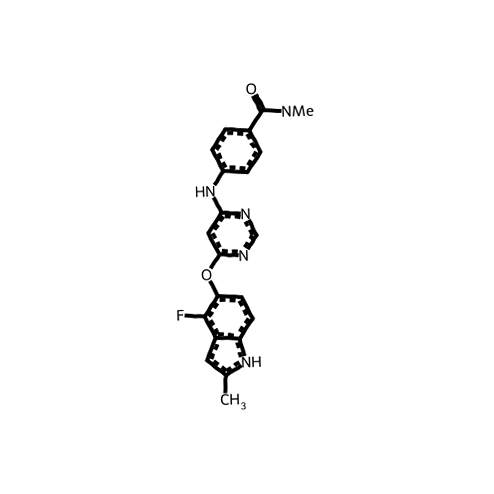 CNC(=O)c1ccc(Nc2cc(Oc3ccc4[nH]c(C)cc4c3F)ncn2)cc1